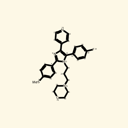 CSc1ccc(-c2nc(-c3ccncc3)c(-c3ccc(F)cc3)n2CCCN2CCOCC2)cc1